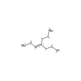 CC(C)SC/C(CSC(C)(C)C)=N/OC(C)(C)C